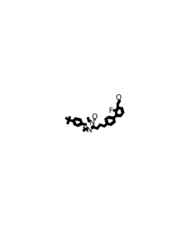 CCN(C=O)/C(CCCc1ccc(-c2cccc(CC=O)c2F)cc1)=N\N(C)Cc1ccc(C(C)(C)C)cc1